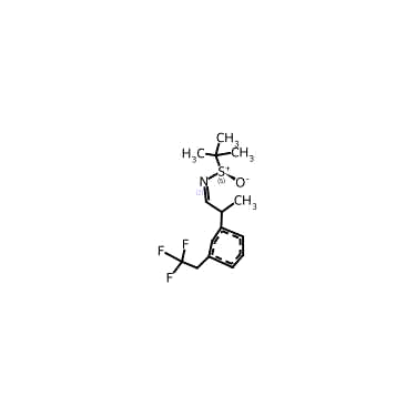 CC(/C=N\[S@+]([O-])C(C)(C)C)c1cccc(CC(F)(F)F)c1